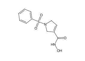 O=C(NO)C1=CCN(S(=O)(=O)c2ccccc2)C1